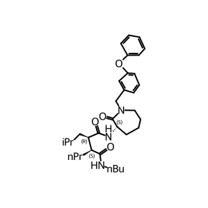 CCCCNC(=O)[C@@H](CCC)[C@@H](CC(C)C)C(=O)N[C@H]1CCCCN(Cc2cccc(Oc3ccccc3)c2)C1=O